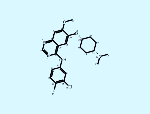 COc1cc2ncnc(Nc3ccc(F)c(Cl)c3)c2cc1O[C@H]1CC[C@@H](N(C)C)CC1